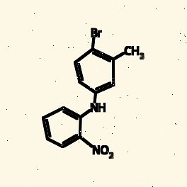 Cc1cc(Nc2ccccc2[N+](=O)[O-])ccc1Br